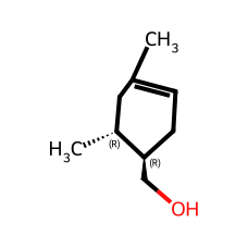 CC1=CC[C@@H](CO)[C@H](C)C1